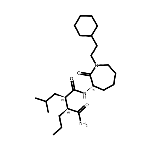 CCC[C@H](C(N)=O)[C@@H](CC(C)C)C(=O)N[C@H]1CCCCN(CCC2CCCCC2)C1=O